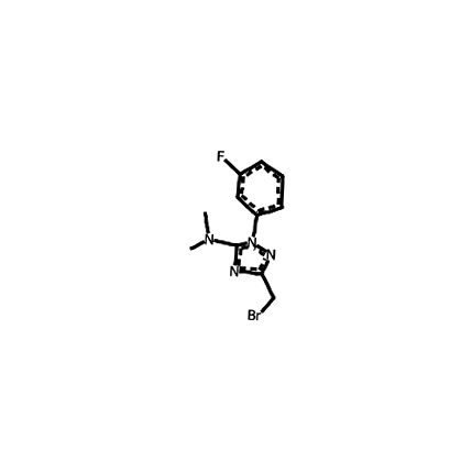 CN(C)c1nc(CBr)nn1-c1cccc(F)c1